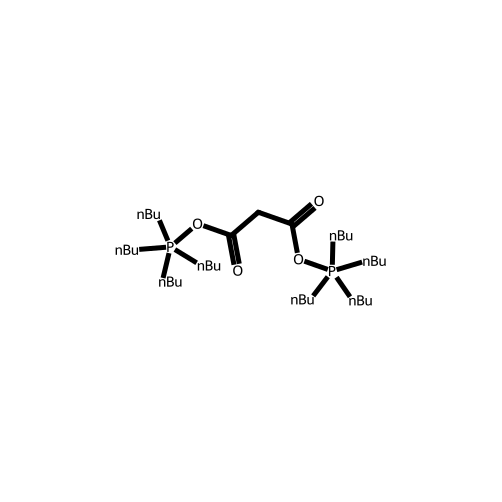 CCCCP(CCCC)(CCCC)(CCCC)OC(=O)CC(=O)OP(CCCC)(CCCC)(CCCC)CCCC